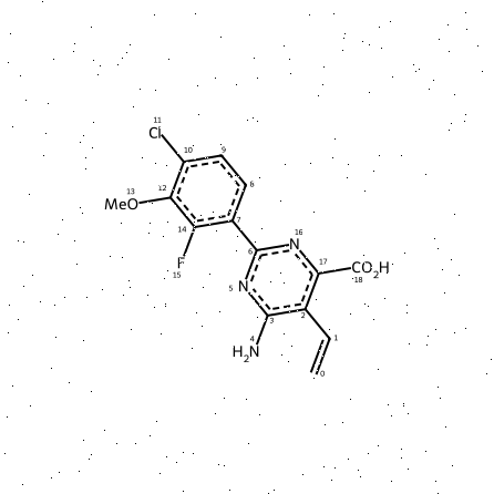 C=Cc1c(N)nc(-c2ccc(Cl)c(OC)c2F)nc1C(=O)O